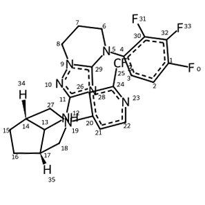 Fc1ccc(N2CCCn3nc(NC4[C@@H]5CC[C@H]4CN(c4ccnc(C(F)(F)F)c4)C5)nc32)c(F)c1F